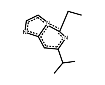 CCc1nc(C(C)C)cc2nccn12